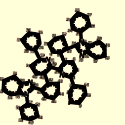 c1ccc(-c2ccc(-c3ccccc3-c3nc4ccccc4n3-c3ccccc3)c(-c3nc(-c4ccccc4)ccc3-c3ccccc3-c3nc4ccccc4n3-c3ccccc3)n2)cc1